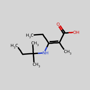 CC/C(NC(C)(C)CC)=C(/C)C(=O)O